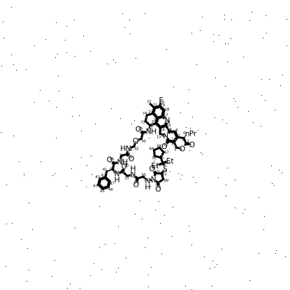 CCC[C@@H]1C(=O)OCc2c1cc1n(c2=O)Cc2c-1nc1cc(F)c(C)c3c1c2[C@@H](NC(=O)COCNC(=O)CNC(=O)[C@H](Cc1ccccc1)NC(=O)CNC(=O)CNN1C(=O)CC(SC(CC)(CC)C2CCCC2)C1=O)CC3